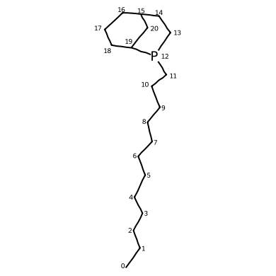 CCCCCCCCCCCCP1CCC2CCCC1C2